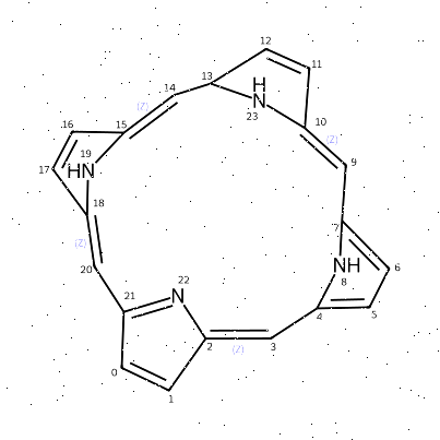 C1=C/C2=C/c3ccc([nH]3)/C=C3/C=CC(/C=c4/cc/c([nH]4)=C/C1=N2)N3